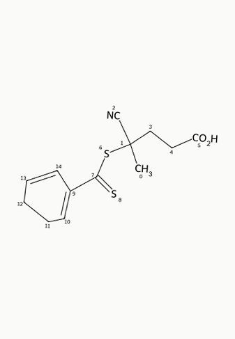 CC(C#N)(CCC(=O)O)SC(=S)C1=CCCC=C1